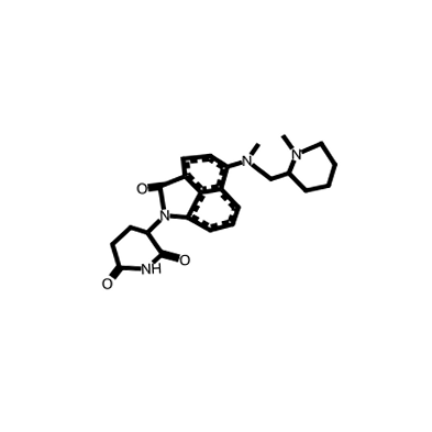 CN(CC1CCCCN1C)c1ccc2c3c(cccc13)N(C1CCC(=O)NC1=O)C2=O